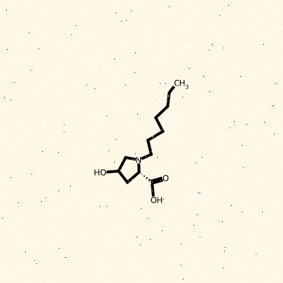 CCCCCCCN1CC(O)C[C@H]1C(=O)O